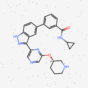 O=C(NC1CC1)c1cccc(-c2ccc3[nH]nc(-c4cncc(O[C@@H]5CCCNC5)n4)c3c2)c1